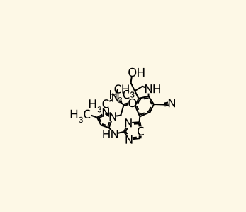 Cc1cc(Nc2nccc(-c3cc(C#N)c4c(c3)[C@@](C)(CO)CN4)n2)n(CC(=O)N(C)C)n1